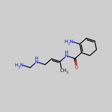 C/C(=C\CNCN)NC(=O)C1=C(N)C=CCC1